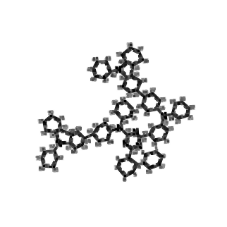 c1ccc(-c2ccccc2-c2nc(-c3cccc(N(c4ccccc4)c4ccc(-c5ccc6c(c5)c5ccccc5n6-c5ccccc5)cc4)c3)nc(N(c3ccccc3)c3ccc(-c4ccc5c(c4)c4ccccc4n5-c4ccccc4)cc3)n2)cc1